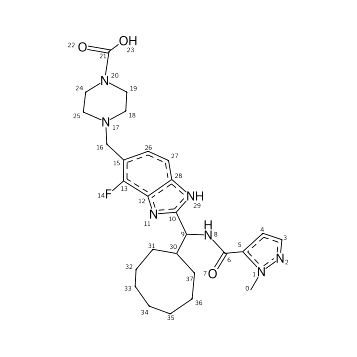 Cn1nccc1C(=O)NC(c1nc2c(F)c(CN3CCN(C(=O)O)CC3)ccc2[nH]1)C1CCCCCCC1